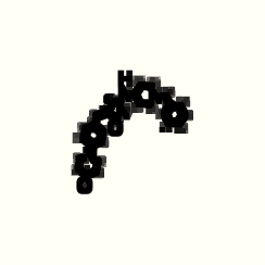 O=C1CCN(c2ccc(/C=C3/SC(NC4CCN(Cc5ccccc5)CC4)=NC3=O)cc2)CC1